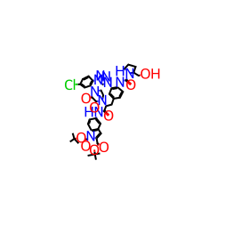 CC(C)(C)OC(=O)c1cc2cc(NC(=O)C(Cc3ccc(NC(=O)N4CCCC4CO)cc3)N3CCN(c4cc(Cl)ccc4-n4cnnn4)C(=O)C3=O)ccc2n1C(=O)OC(C)(C)C